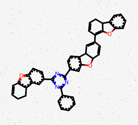 C1=Cc2oc3ccc(-c4nc(-c5ccccc5)nc(-c5ccc6c(c5)OC5C=CC(C7=C8Oc9ccccc9C8CC=C7)=CC65)n4)cc3c2CC1